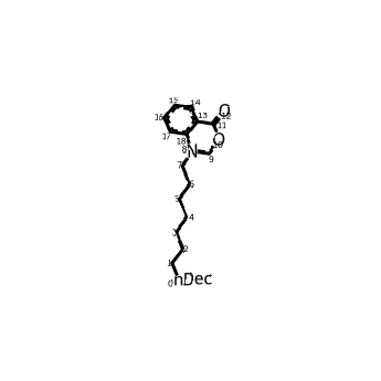 CCCCCCCCCCCCCCCCCN1COC(=O)c2ccccc21